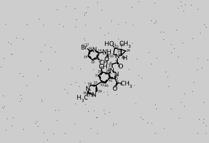 CC(=O)c1nn(CC(=O)N2[C@H](C(=O)Nc3nc(Br)ccc3C)[C@@H](O)[C@@]3(C)C[C@@H]23)c2c(C)cc(-c3cnc(C)nc3)cc12